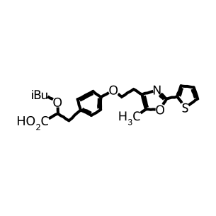 CCC(C)OC(Cc1ccc(OCCc2nc(-c3cccs3)oc2C)cc1)C(=O)O